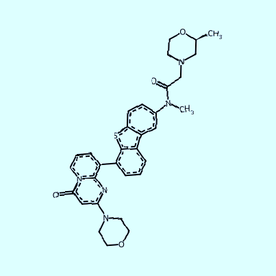 C[C@H]1CN(CC(=O)N(C)c2ccc3sc4c(-c5cccn6c(=O)cc(N7CCOCC7)nc56)cccc4c3c2)CCO1